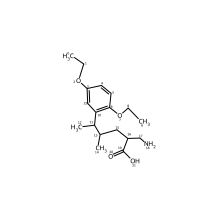 CCOc1ccc(OCC)c(C(C)C(C)CC(CN)C(=O)O)c1